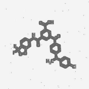 CN(c1ccc(Cl)cc1)c1ccc(C(=O)c2cc(C(=O)O)cc(C(=O)Nc3ccc4c(c3)OOC4(F)F)c2)cc1